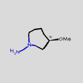 CO[C@@H]1CCN(N)C1